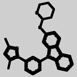 Cc1cc(C)n(-c2cccc(-n3c4ccccc4c4ccc(OC5CCCCO5)cc43)c2)n1